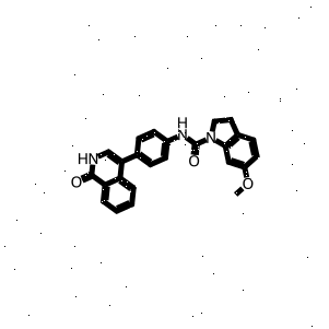 COc1ccc2c(c1)N(C(=O)Nc1ccc(-c3c[nH]c(=O)c4ccccc34)cc1)CC2